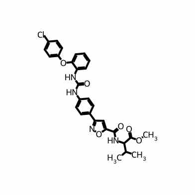 COC(=O)C(NC(=O)c1cc(-c2ccc(NC(=O)Nc3ccccc3Oc3ccc(Cl)cc3)cc2)no1)C(C)C